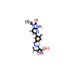 Cc1ccc(CN2CCc3onc(O)c3C2)cc1-c1ccc2c(n1)n(C)c(=O)n2CC(C)(C)C